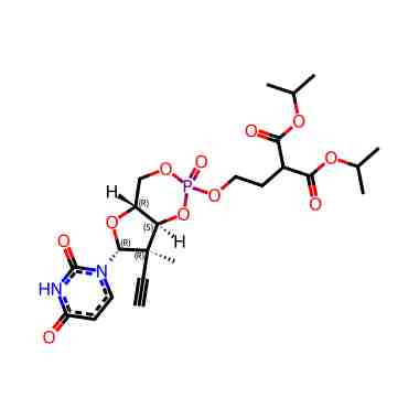 C#C[C@]1(C)[C@@H]2OP(=O)(OCCC(C(=O)OC(C)C)C(=O)OC(C)C)OC[C@H]2O[C@H]1n1ccc(=O)[nH]c1=O